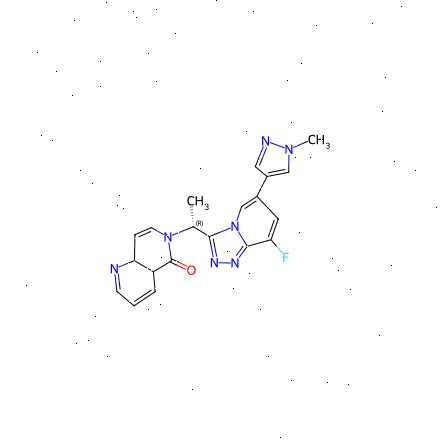 C[C@H](c1nnc2c(F)cc(-c3cnn(C)c3)cn12)N1C=CC2N=CC=CC2C1=O